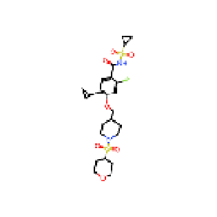 O=C(NS(=O)(=O)C1CC1)c1cc(C2CC2)c(OCC2CCN(S(=O)(=O)C3CCOCC3)CC2)cc1F